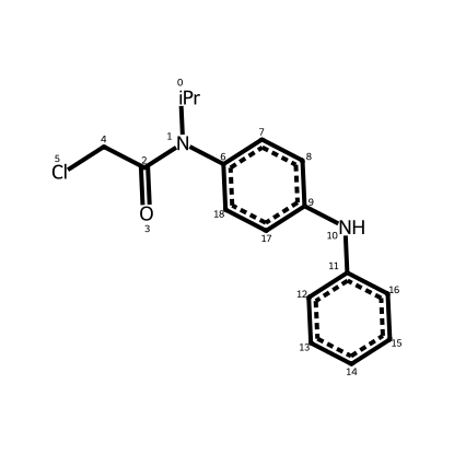 CC(C)N(C(=O)CCl)c1ccc(Nc2ccccc2)cc1